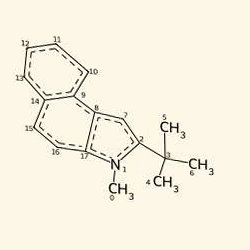 Cn1c(C(C)(C)C)cc2c3ccccc3ccc21